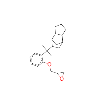 CC(C)(c1ccccc1OCC1CO1)C1CC2CC1C1CCCC21